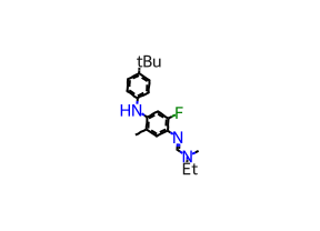 CCN(C)C=Nc1cc(C)c(Nc2ccc(C(C)(C)C)cc2)cc1F